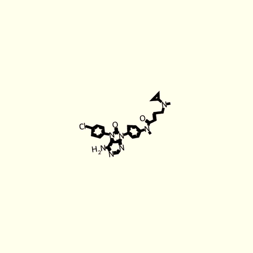 CN(C(=O)/C=C/CN(C)C1CC1)c1ccc(-n2c(=O)n(-c3ccc(Cl)cc3)c3c(N)ncnc32)cc1